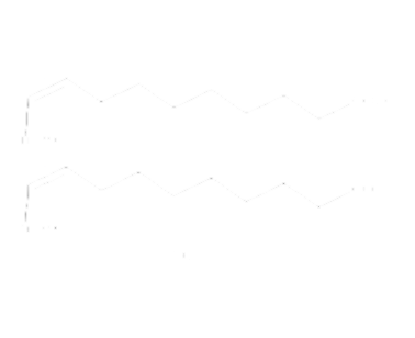 CCCCCC/C=C\CCCCCCCC(=O)[O-].CCCCCC/C=C\CCCCCCCC(=O)[O-].[Cu+2]